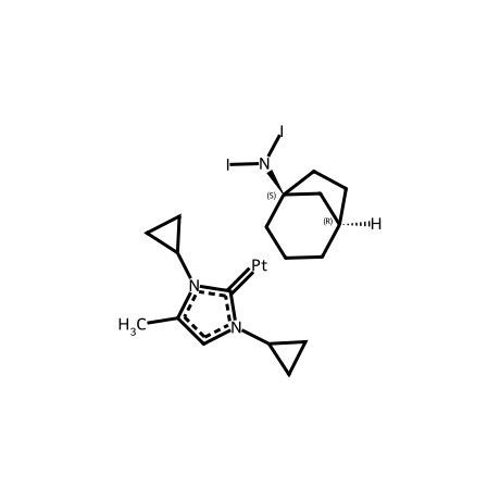 Cc1cn(C2CC2)[c](=[Pt])n1C1CC1.IN(I)[C@@]12CCC[C@H](CC1)C2